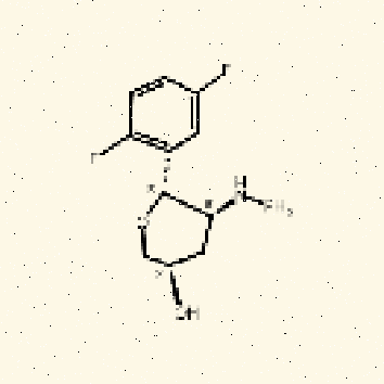 O[C@H]1CO[C@H](c2cc(F)ccc2F)[C@@H](NP)C1